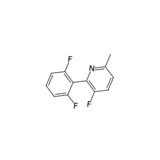 Cc1ccc(F)c(-c2c(F)cccc2F)n1